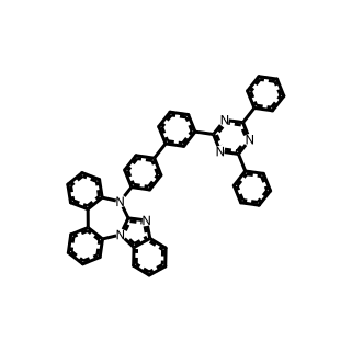 c1ccc(-c2nc(-c3ccccc3)nc(-c3cccc(-c4ccc(N5c6ccccc6-c6ccccc6-n6c5nc5ccccc56)cc4)c3)n2)cc1